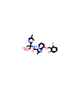 Cc1ccc(C(CO)(CO)NC(=O)c2c(C)nc3c(OCc4c(F)cccc4F)cccn23)nc1